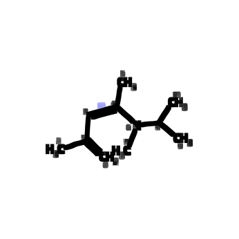 C=C(C)/C=C(/C)N(C)C(C)C